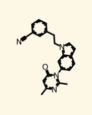 Cc1cc(=O)n(-c2ccc3ccn(CCc4cccc(C#N)c4)c3c2)c(C)n1